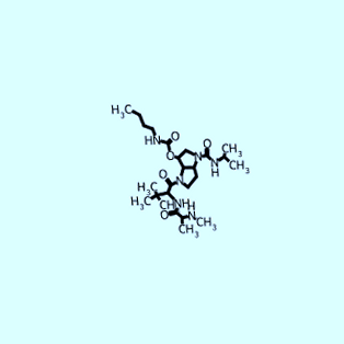 CCCCNC(=O)OC1CN(C(=O)NC(C)C)C2CCN(C(=O)C(NC(=O)C(C)NC)C(C)(C)C)C12